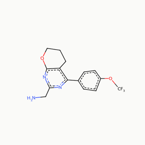 NCc1nc2c(c(-c3ccc(OC(F)(F)F)cc3)n1)CCCO2